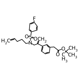 C=CCCCN(CC(=C)c1cccc(CC(=O)OC(C)(C)C)c1)S(=O)(=O)c1ccc(F)cc1